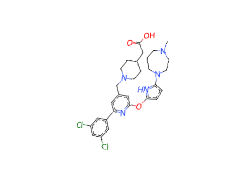 CN1CCCN(c2ccc(Oc3cc(CN4CCC(CC(=O)O)CC4)cc(-c4cc(Cl)cc(Cl)c4)n3)[nH]2)CC1